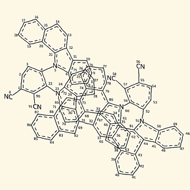 N#Cc1ccc(-n2c3ccccc3c3ccc4ccccc4c32)c(-n2c3ccccc3c3c(-c4ccc5c(c4)c4ccccc4c4c6ccccc6n(-c6ccc(C#N)c(C#N)c6-n6c7ccccc7c7c8ccccc8c8ccccc8c76)c54)cc4ccccc4c32)c1C#N